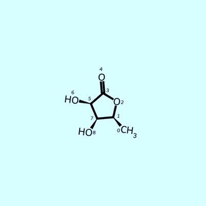 C[C@@H]1OC(=O)[C@H](O)[C@@H]1O